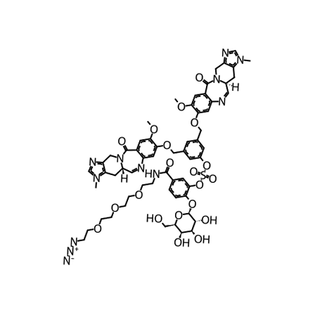 COc1cc2c(cc1OCc1cc(COc3cc4c(cc3OC)C(=O)N3Cc5ncn(C)c5C[C@H]3C=N4)cc(OS(=O)(=O)Oc3cc(C(=O)NCCOCCOCCOCCN=[N+]=[N-])ccc3O[C@@H]3O[C@H](CO)[C@H](O)[C@H](O)[C@H]3O)c1)N=C[C@@H]1Cc3c(ncn3C)CN1C2=O